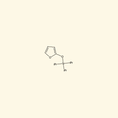 CC(C)[Si](Oc1ccco1)(C(C)C)C(C)C